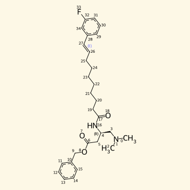 CN(C)C[C@@H](CC(=O)OCc1ccccc1)NC(=O)CCCCCCC/C=C/c1cccc(F)c1